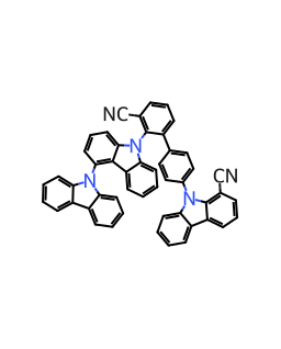 N#Cc1cccc(-c2ccc(-n3c4ccccc4c4cccc(C#N)c43)cc2)c1-n1c2ccccc2c2c(-n3c4ccccc4c4ccccc43)cccc21